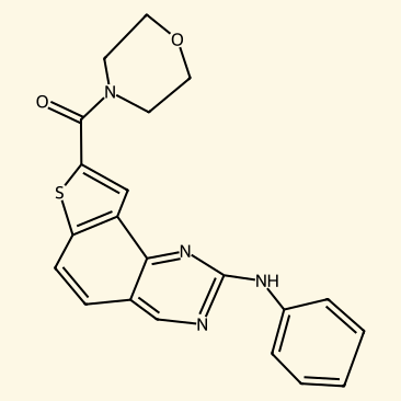 O=C(c1cc2c(ccc3cnc(Nc4ccccc4)nc32)s1)N1CCOCC1